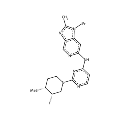 CS[C@@H]1CCN(c2nccc(Nc3cc4c(cn3)nc(C)n4C(C)C)n2)C[C@@H]1F